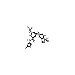 Cc1cnc(NC(=O)c2cc(Oc3ccc(P(=O)(O)O)cc3)cc(OC(C)C)c2)s1